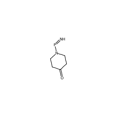 N=PN1CCC(=O)CC1